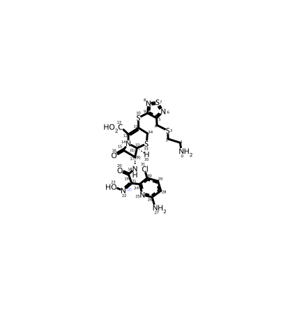 NCCSCc1nsnc1SC1=C(C(=O)O)N2C(=O)[C@@H](NC(=O)/C(=N\O)c3nc(N)ccc3Cl)[C@@H]2SC1